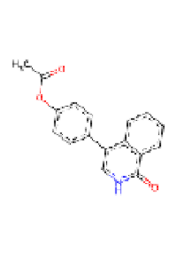 CC(=O)Oc1ccc(-c2c[nH]c(=O)c3ccccc23)cc1